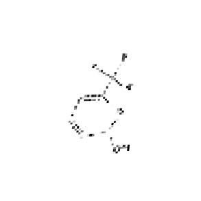 OC1C=CC=C(C(F)(F)F)O1